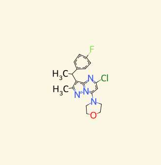 Cc1nn2c(N3CCOCC3)cc(Cl)nc2c1C(C)c1ccc(F)cc1